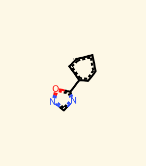 [c]1cccc(-c2ncno2)c1